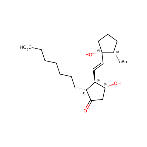 CCCC[C@H]1CCC[C@]1(O)C=C[C@H]1[C@H](O)CC(=O)[C@@H]1CCCCCCC(=O)O